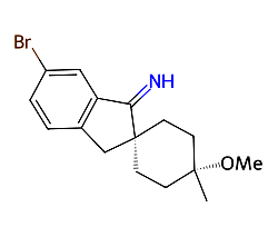 CO[C@]1(C)CC[C@]2(CC1)Cc1ccc(Br)cc1C2=N